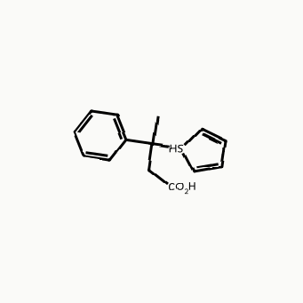 CC(CC(=O)O)(c1ccccc1)[SH]1C=CC=C1